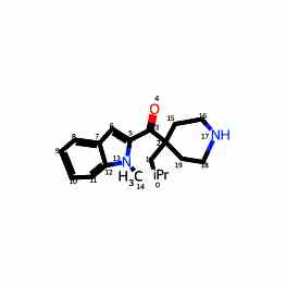 CC(C)CC1(C(=O)c2cc3ccccc3n2C)CCNCC1